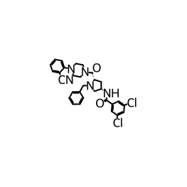 N#Cc1ccccc1N1CCN(C(=O)[C@@H]2C[C@H](NC(=O)c3cc(Cl)cc(Cl)c3)CN2Cc2ccccc2)CC1